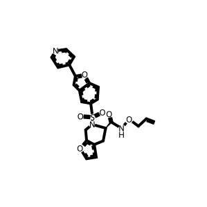 C=CCONC(=O)[C@H]1Cc2ccoc2CN1S(=O)(=O)c1ccc2oc(-c3ccncc3)cc2c1